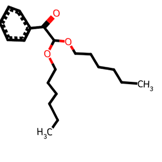 CCCCCCOC(OCCCCCC)C(=O)c1ccccc1